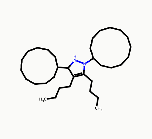 CCCCC1=C(CCCC)N(C2CCCCCCCCCCC2)NC1C1CCCCCCCCCC1